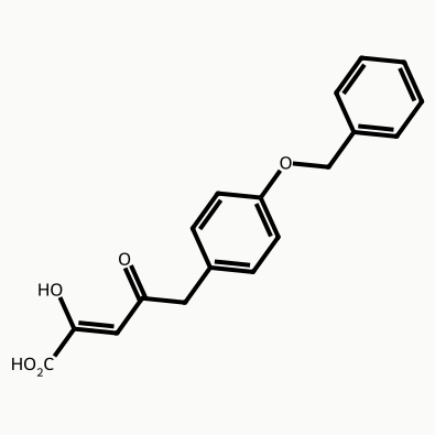 O=C(/C=C(\O)C(=O)O)Cc1ccc(OCc2ccccc2)cc1